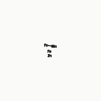 [Fe].[Mn][Fe].[Zn]